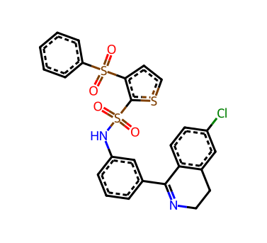 O=S(=O)(Nc1cccc(C2=NCCc3cc(Cl)ccc32)c1)c1sccc1S(=O)(=O)c1ccccc1